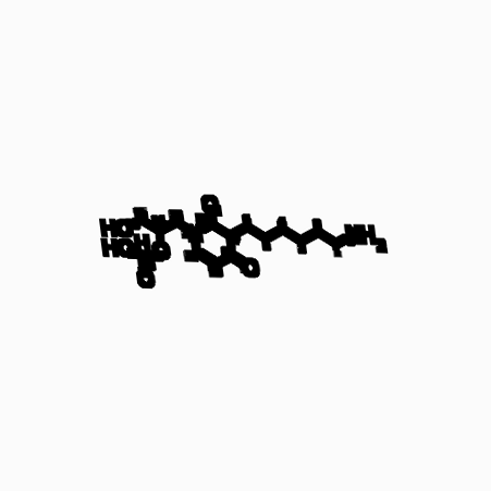 NCCCCCCC1C(=O)C=CN(CC(CO)O[PH](=O)O)C1=O